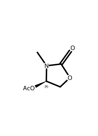 CC(=O)O[C@@H]1COC(=O)N1C